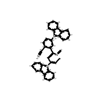 C=N/C(=C\C(=C/C)n1c2ccccc2c2ccccc21)c1cc(-n2c3ccccc3c3ccccc32)ccc1C#N